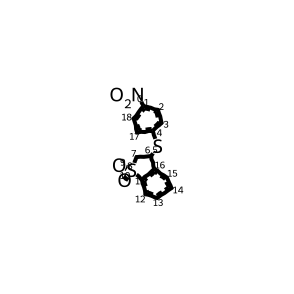 O=[N+]([O-])c1ccc(SC2CS(=O)(=O)c3ccccc32)cc1